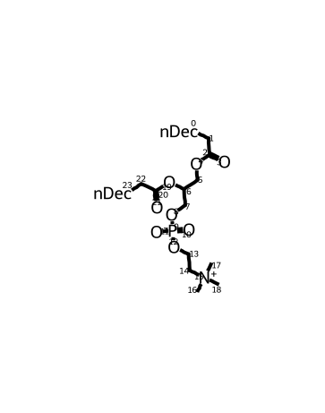 CCCCCCCCCCCC(=O)OCC(COP(=O)([O-])OCC[N+](C)(C)C)OC(=O)CCCCCCCCCCC